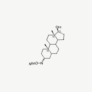 CON=C1CC[C@@]2(C)C(CCC3C2CC[C@@]2(C)C3CC[C@@H]2O)C1